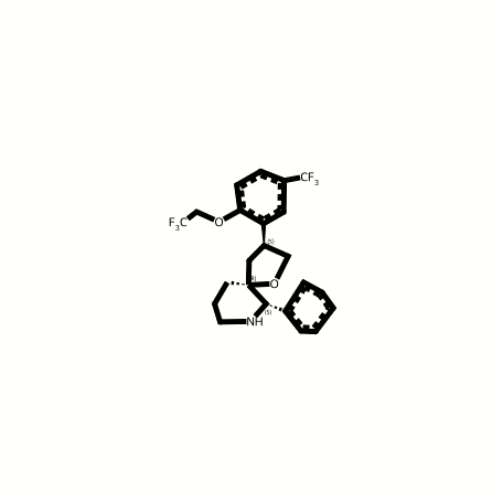 FC(F)(F)COc1ccc(C(F)(F)F)cc1[C@H]1CO[C@]2(CCCN[C@H]2c2ccccc2)C1